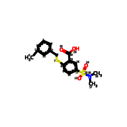 Cc1cccc(CSc2ccc(S(=O)(=O)N(C)C)cc2C(=O)O)c1